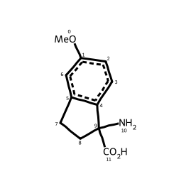 COc1ccc2c(c1)CCC2(N)C(=O)O